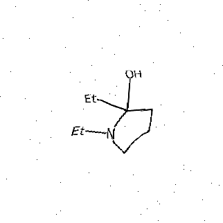 CCN1CCCC1(O)CC